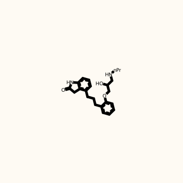 CCCNCC(O)COc1ccccc1CCCc1cccc2c1CC(=O)N2